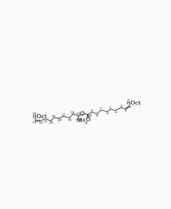 CCCCCCCC/C=C\CCCCCCCC(=O)OC(N)CCCCCCC/C=C\CCCCCCCC